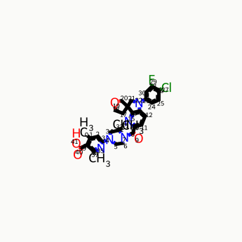 Cc1cc(N2CCN(C(=O)c3ccc4c(n3)C3(CCOC3)CN4c3ccc(Cl)c(F)c3)C(C)(C)C2)nc(C)c1C(=O)O